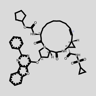 O=C(N[C@H]1CCCCC/C=C\[C@@H]2C[C@@]2(C(=O)NS(=O)(=O)C2CC2)NC(=O)[C@@H]2C[C@@H](Oc3nc(-c4ccccc4)nc4c3oc3ccccc34)CN2C1=O)OC1CCCC1